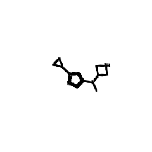 CN(c1cnn(C2CC2)c1)C1CNC1